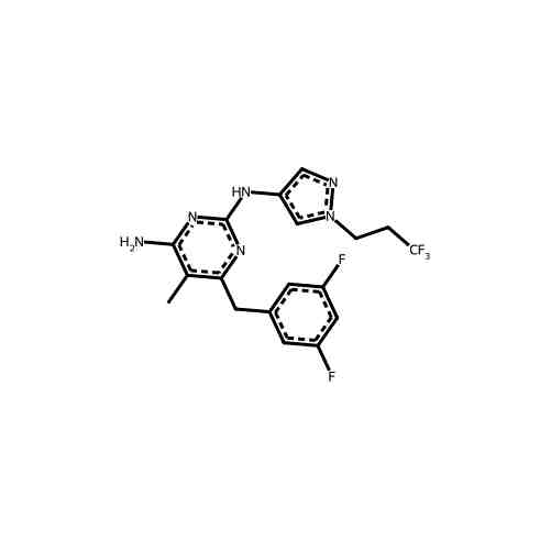 Cc1c(N)nc(Nc2cnn(CCC(F)(F)F)c2)nc1Cc1cc(F)cc(F)c1